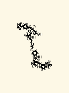 Cc1ncsc1-c1ccc(CNC(=O)[C@@H]2C[C@H](O)CN2C(=O)C(NC(=O)CCOCCOc2ccc(Nc3ncc(C(F)(F)F)c(NCc4cccc(N(C)S(C)(=O)=O)c4)n3)cc2)C(C)(C)C)cc1